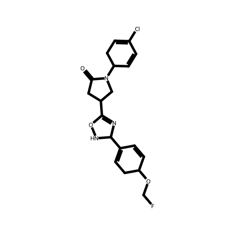 O=C1CC(C2=NC(C3=CCC(OCF)C=C3)NO2)CN1C1C=CC(Cl)=CC1